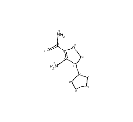 NC(=O)C1=C(N)N(C2CCCC2)CO1